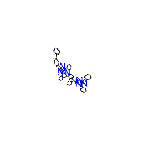 c1ccc(-c2cccc(-c3nc(-c4ccccc4)nc(-c4ccccc4-n4c5ccccc5c5c6c7ccccc7n(-c7nc(-c8ccccc8)nc(-c8ccccc8)n7)c6ccc54)n3)c2)cc1